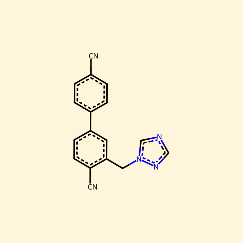 N#Cc1ccc(-c2ccc(C#N)c(Cn3cncn3)c2)cc1